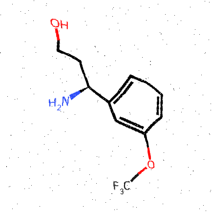 N[C@@H](CCO)c1cccc(OC(F)(F)F)c1